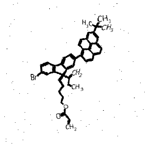 C=CC(=O)OCCCCCC1(C(=C)CC)c2cc(Br)ccc2-c2ccc(-c3ccc4ccc5cc(C(C)(C)C)cc6ccc3c4c56)cc21